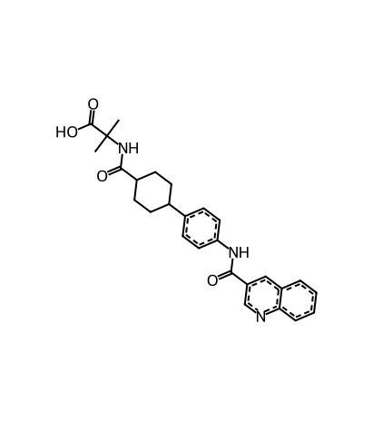 CC(C)(NC(=O)C1CCC(c2ccc(NC(=O)c3cnc4ccccc4c3)cc2)CC1)C(=O)O